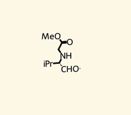 COC(=O)CN[C@H]([C]=O)C(C)C